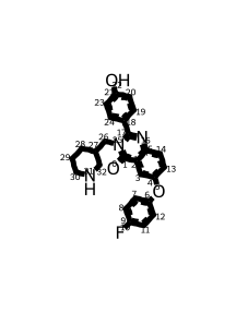 O=c1c2cc(Oc3ccc(F)cc3)ccc2nc(-c2ccc(O)cc2)n1CC1CCCNC1